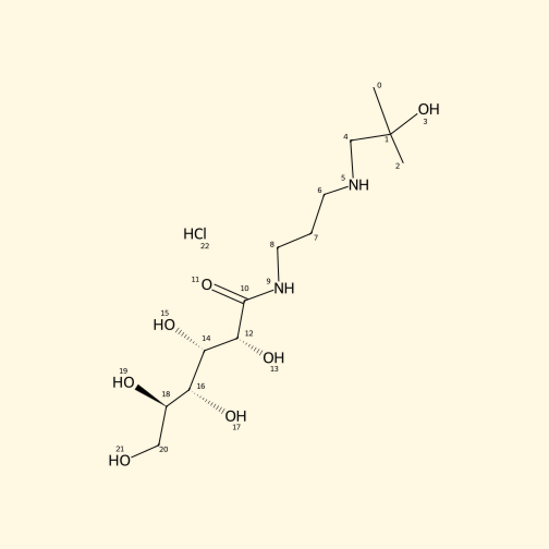 CC(C)(O)CNCCCNC(=O)[C@H](O)[C@@H](O)[C@H](O)[C@H](O)CO.Cl